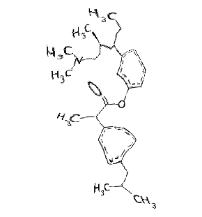 CCC(c1cccc(OC(=O)C(C)c2ccc(CC(C)C)cc2)c1)[C@H](C)CN(C)C